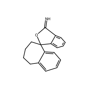 N=C1OC2(CCCCc3ccccc32)c2ccccc21